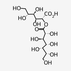 O=C(O[C@@H](C(=O)O)[C@@H](O)[C@H](O)[C@H](O)CO)[C@H](O)[C@H](O)[C@H](O)[C@@H](O)[C@H](O)CO